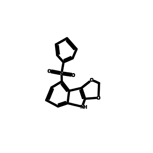 O=S(=O)(c1ccccc1)c1cccc2[nH]c3c(c12)OCO3